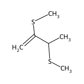 C=C(SC)C(C)SC